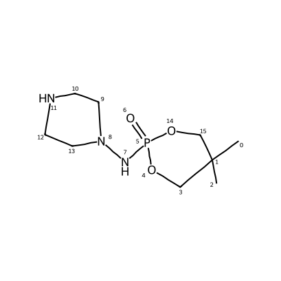 CC1(C)COP(=O)(NN2CCNCC2)OC1